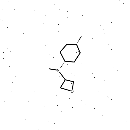 CN(C1COC1)[C@H]1CC[C@@H](C)CC1